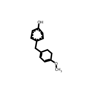 COC1=CC=C(Cc2ccc(O)cc2)CC1